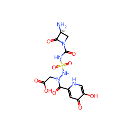 N[C@H]1CN(C(=O)NS(=O)(=O)NN(CC(=O)O)C(=O)c2cc(=O)c(O)c[nH]2)C1=O